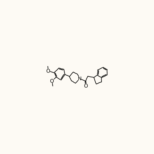 COc1ccc(C2CCN(C(=O)CC3CCc4ccccc43)CC2)cc1OC